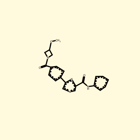 COC1CN(C(=O)c2ccc(-c3cncc(C(=O)Nc4ccccc4)n3)cc2)C1